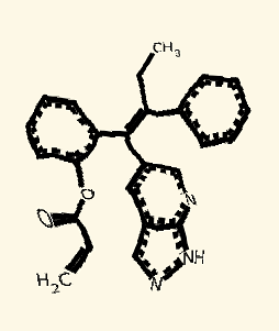 C=CC(=O)Oc1ccccc1/C(=C(\CC)c1ccccc1)c1cnc2[nH]ncc2c1